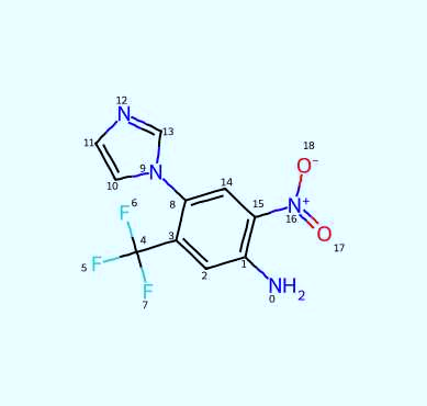 Nc1cc(C(F)(F)F)c(-n2ccnc2)cc1[N+](=O)[O-]